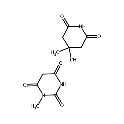 CC1(C)CC(=O)NC(=O)C1.CN1C(=O)CC(=O)NC1=O